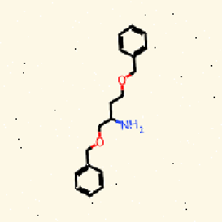 NC(CCOCc1ccccc1)COCc1ccccc1